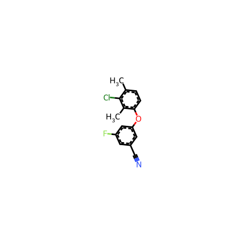 Cc1ccc(Oc2cc(F)cc(C#N)c2)c(C)c1Cl